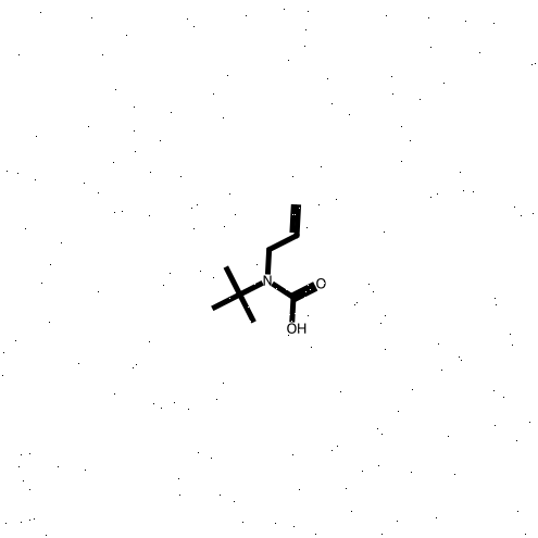 C=CCN(C(=O)O)C(C)(C)C